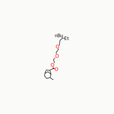 CCCCC(CC)CCOCCOCCOC(=O)C1CC2CCC(C)C1C2